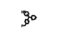 FCc1ccc(C(c2ccccc2)N2CCNCC2)cc1